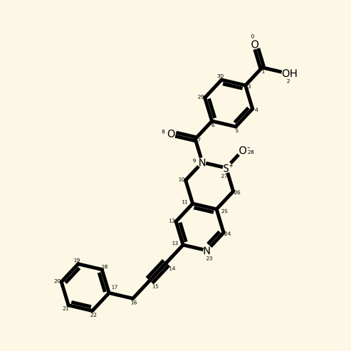 O=C(O)c1ccc(C(=O)N2Cc3cc(C#CCc4ccccc4)ncc3C[S+]2[O-])cc1